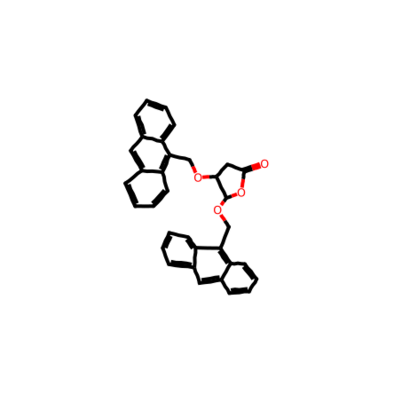 O=C1CC(OCc2c3ccccc3cc3ccccc23)C(OCc2c3ccccc3cc3ccccc23)O1